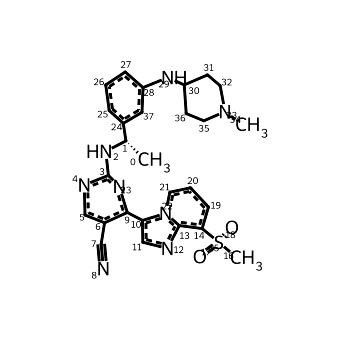 C[C@H](Nc1ncc(C#N)c(-c2cnc3c(S(C)(=O)=O)cccn23)n1)c1cccc(NC2CCN(C)CC2)c1